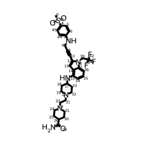 CS(=O)(=O)c1ccc(NCC#Cc2cc3c(NC4CCN(CCN5CCC(C(N)=O)CC5)CC4)cccc3n2CC(F)(F)F)cc1